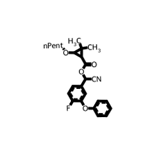 CCCCCOC1C(C(=O)OC(C#N)c2ccc(F)c(Oc3ccccc3)c2)C1(C)C